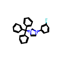 Fc1cccc(N2C=CN(C(c3ccccc3)(c3ccccc3)c3ccccc3)C2)c1